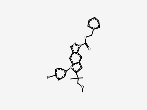 COCC(C)(C)c1cc2cc3c(cnn3C(=O)OCc3ccccc3)cc2n1-c1ccc(F)cc1